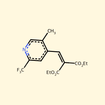 CCOC(=O)C(=Cc1cc(C(F)(F)F)ncc1C)C(=O)OCC